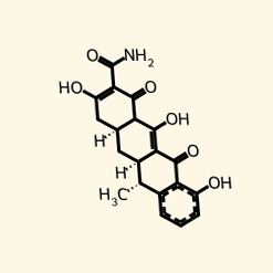 C[C@H]1c2cccc(O)c2C(=O)C2=C(O)C3C(=O)C(C(N)=O)=C(O)C[C@@H]3C[C@@H]21